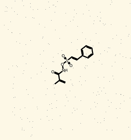 C=C(C)C(=O)NOS(=O)(=O)C=Cc1ccccc1